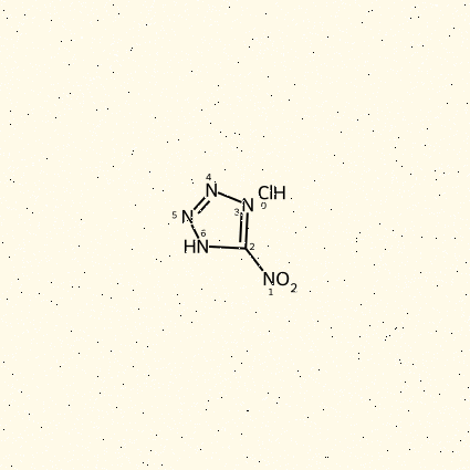 Cl.O=[N+]([O-])c1nnn[nH]1